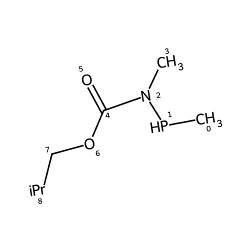 CPN(C)C(=O)OCC(C)C